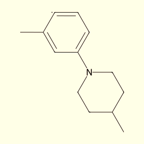 Cc1[c]ccc(N2CCC(C)CC2)c1